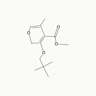 COC(=O)C1=C(OCC(C)(C)C)COC=C1C